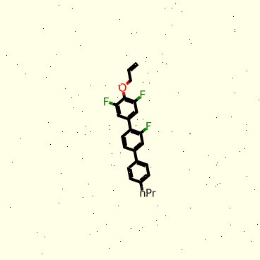 C=CCOc1c(F)cc(-c2ccc(-c3ccc(CCC)cc3)cc2F)cc1F